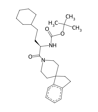 CC(C)(C)OC(=O)N[C@H](CCC1CCCCC1)C(=O)N1CCC2(CCc3ccccc32)CC1